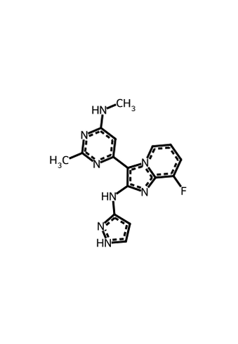 CNc1cc(-c2c(Nc3cc[nH]n3)nc3c(F)cccn23)nc(C)n1